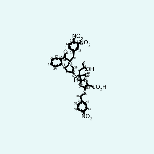 CC(O)C[C@@]1(SC2CCN(C(Cc3ccc([N+](=O)[O-])c([N+](=O)[O-])c3)C(=O)c3ccccc3)C2)C(=O)N2C(C(=O)O)=C(SCc3ccc([N+](=O)[O-])cc3)S[C@@H]21